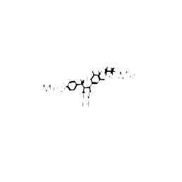 COC(=O)C(C)(C)Oc1c(C)cc(C2CNCC2C(=O)c2ccc(SC)cc2)cc1C